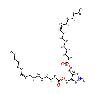 CCCCCC/C=C\CCCCCCCC(=O)OCC1CN(C)CC1COC(=O)CCCCCCC/C=C\CCCCCC